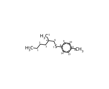 CCCCC(C)CSc1ccc(C)cc1